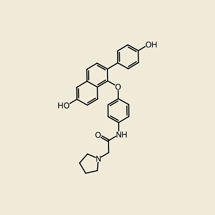 O=C(CN1CCCC1)Nc1ccc(Oc2c(-c3ccc(O)cc3)ccc3cc(O)ccc23)cc1